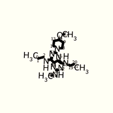 CCCNc1nc(N2CCC(OC)CC2)nc2c(NCCC)nc(NC)nc12